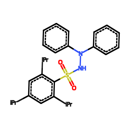 CC(C)c1cc(C(C)C)c(S(=O)(=O)NN(c2ccccc2)c2ccccc2)c(C(C)C)c1